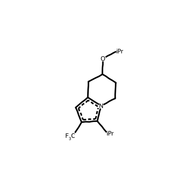 CC(C)OC1CCn2c(cc(C(F)(F)F)c2C(C)C)C1